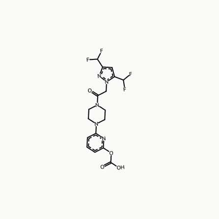 O=C(O)Oc1cccc(N2CCN(C(=O)Cn3nc(C(F)F)cc3C(F)F)CC2)n1